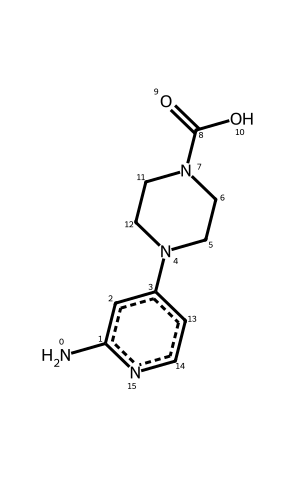 Nc1cc(N2CCN(C(=O)O)CC2)ccn1